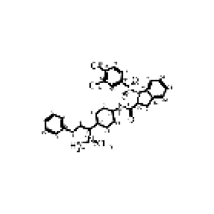 CN(C)C(CCc1ccccc1)C1CCC(NC(=O)C2Cc3ccccc3N2S(=O)(=O)c2ccc(Cl)c(Cl)c2)CC1